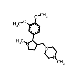 COc1ccc(C2C(CN3CCN(C)CC3)CCN2C)cc1OC